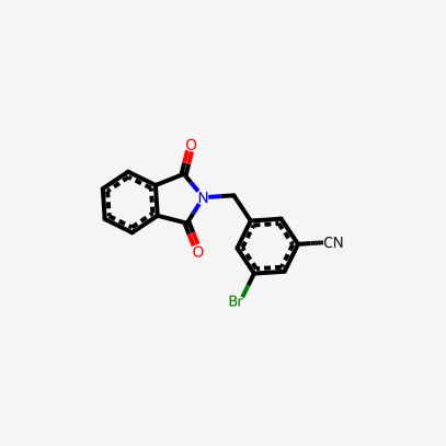 N#Cc1cc(Br)cc(CN2C(=O)c3ccccc3C2=O)c1